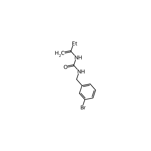 C=C(CC)NC(=O)NCc1cccc(Br)c1